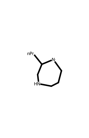 CCCC1CNCCC[N]1